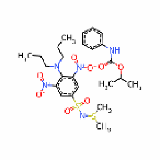 CC(C)OC(=O)Nc1ccccc1.CCCN(CCC)c1c([N+](=O)[O-])cc(S(=O)(=O)N=S(C)C)cc1[N+](=O)[O-]